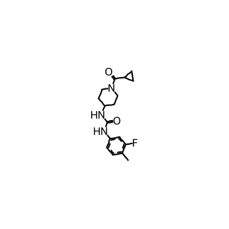 Cc1ccc(NC(=O)NC2CCN(C(=O)C3CC3)CC2)cc1F